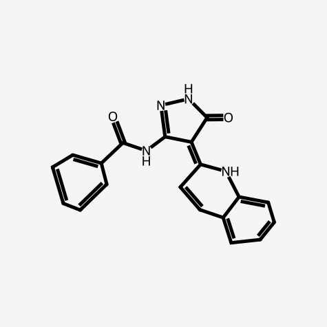 O=C1NN=C(NC(=O)c2ccccc2)/C1=C1\C=Cc2ccccc2N1